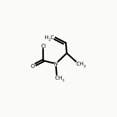 C=CC(C)N(C)C(=O)Cl